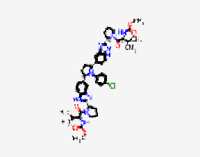 COC(=O)N[C@H](C(=O)N1CCC[C@H]1c1nc2cc([C@H]3CC[C@H](c4ccc5[nH]c([C@@H]6CCCN6C(=O)[C@@H](NC(=O)OC)C(C)C)nc5c4)N3c3ccc(Cl)cc3)ccc2[nH]1)C(C)C